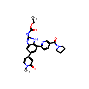 CCOC(=O)Nc1nc2cc(-c3ccn(C)c(=O)c3)cc(-c3ccc(C(=O)N4CCCC4)cn3)c2[nH]1